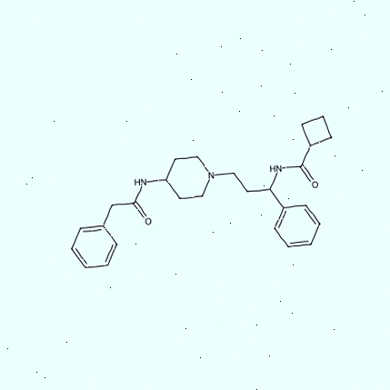 O=C(Cc1ccccc1)NC1CCN(CCC(NC(=O)C2CCC2)c2ccccc2)CC1